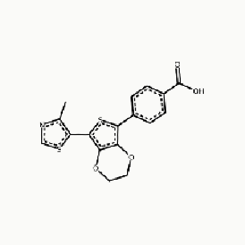 Cc1ncsc1-c1sc(-c2ccc(C(=O)O)cc2)c2c1OCCO2